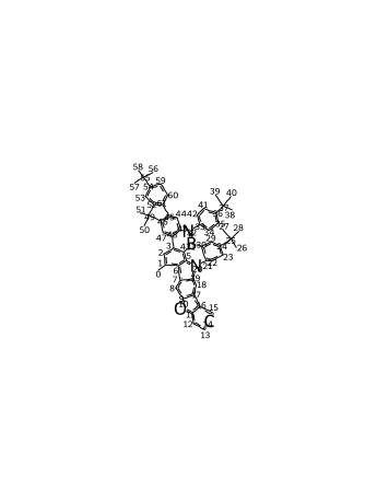 Cc1cc2c3c4c1c1cc5oc6ccccc6c5cc1n4-c1ccc(C(C)(C)C)cc1B3N(c1ccc(C(C)(C)C)cc1)c1cc3c(cc1-2)C(C)(C)c1cc(C(C)(C)C)ccc1-3